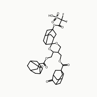 O=C1C2CC3CC1CC(C(=O)OCC1COC4(OC1COC(=O)C15CC6CC(C1)C(=O)C(C6)C5)C1CC5CC4CC(OC(=O)C(F)(F)S(=O)(=O)O)(C5)C1)(C3)C2